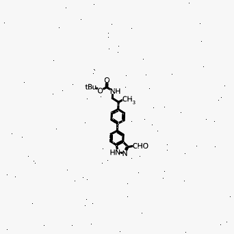 CC(CNC(=O)OC(C)(C)C)c1ccc(-c2ccc3[nH]nc(C=O)c3c2)cc1